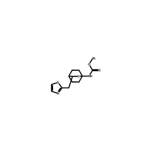 CC(C)OC(=O)NC12CCC(CC1)C(Cc1nccs1)C2